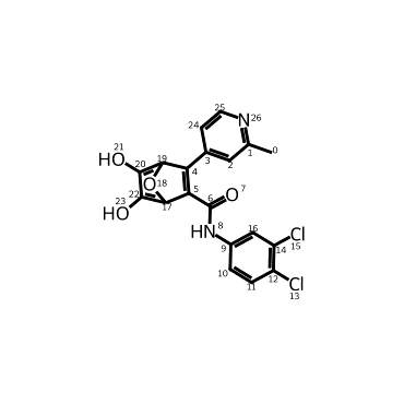 Cc1cc(-c2c(C(=O)Nc3ccc(Cl)c(Cl)c3)c3oc2c(O)c3O)ccn1